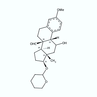 COc1ccc2c(c1)CC[C@]1(C=O)[C@H]2C(O)C[C@]2(C)[C@@H](OC3CCCCO3)CC[C@H]21